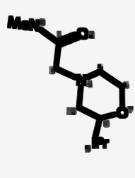 CNC(=O)CN1CCOC(C(C)C)C1